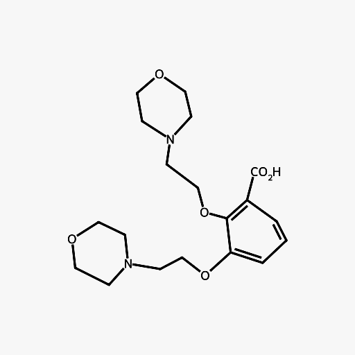 O=C(O)c1cccc(OCCN2CCOCC2)c1OCCN1CCOCC1